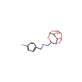 OC1C2OCCCOC(C(CNCc3ccc(Cl)cc3)O2)C1O